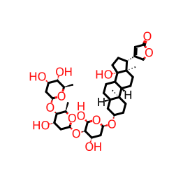 C[C@H]1O[C@@H](O[C@H]2[C@@H](O)C[C@H](O[C@H]3[C@@H](O)C[C@H](O[C@H]4CC[C@@]5(C)[C@@H](CCC6[C@@H]5CC[C@]5(C)[C@@H](C7=CC(=O)OC7)CC[C@]65O)C4)O[C@@H]3O)O[C@@H]2C)C[C@H](O)[C@@H]1O